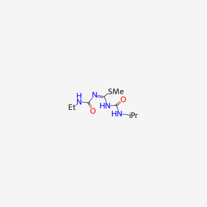 CCNC(=O)N=C(NC(=O)NC(C)C)SC